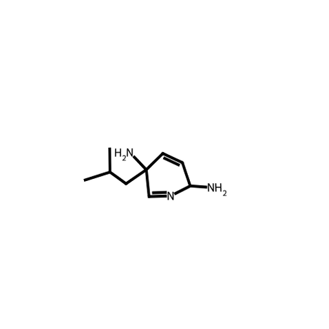 CC(C)CC1(N)C=CC(N)N=C1